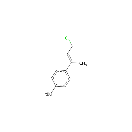 CC(=CCCl)c1ccc(C(C)(C)C)cc1